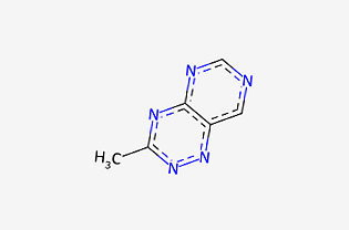 Cc1nnc2cncnc2n1